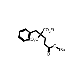 CCOC(=O)C(CCC(=O)OC(C)(C)C)(Cc1ccccc1)C(=O)OCC